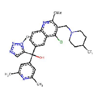 COc1nc2ccc(C(O)(c3cc(C)nc(C)c3)c3cnnn3C)cc2c(Cl)c1CN1CCC(C(F)(F)F)CC1